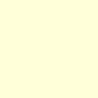 CN1C(C)(C)C=C(B2OC(C)(C)C(C)(C)O2)CC1(C)C